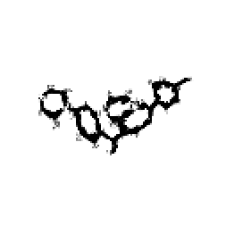 Cc1ccc(-c2ccc(C(C)c3ccc(N4CCOCC4)cc3)c3nccn23)cc1